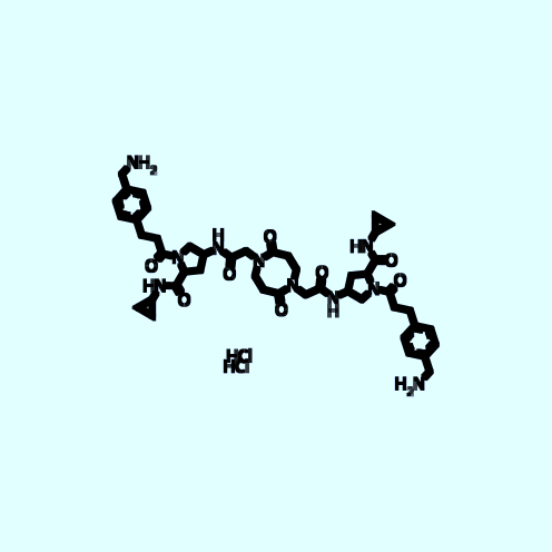 Cl.Cl.NCc1ccc(CCC(=O)N2CC(NC(=O)CN3CCC(=O)N(CC(=O)NC4CC(C(=O)NC5CC5)N(C(=O)CCc5ccc(CN)cc5)C4)CCC3=O)CC2C(=O)NC2CC2)cc1